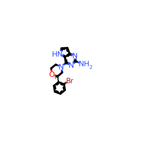 Nc1nc(N2CCO[C@H](c3ccccc3Br)C2)c2[nH]ccc2n1